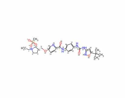 CC[N+]1(OS(C)(=O)=O)CC[C@@H](COc2ccc(C(=O)Nc3ccc(NC(=O)Nc4cc(C(C)(C)C)on4)cc3)nc2)C1